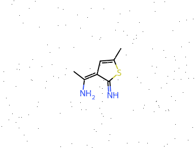 CC1=C/C(=C(\C)N)C(=N)S1